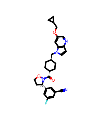 N#Cc1cc(F)cc([C@@H]2CCON2C(=O)[C@H]2CC[C@H](Cn3ccc4ncc(OCC5CC5)cc43)CC2)c1